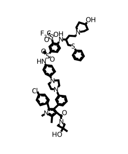 Cc1c(C(=O)N2CC(C)(O)C2)c(-c2cccc(N3CCN(c4ccc(NS(=O)(=O)c5ccc(NC(CCN6CCC(O)CC6)CSc6ccccc6)c(S(=O)(=O)C(F)(F)F)c5)cc4)CC3)c2)c(-c2ccc(Cl)cc2)n1C